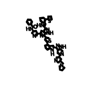 O=C(Nc1cncc(-c2cc3c(-c4cc5c(-c6cccs6)cccc5[nH]4)n[nH]c3c(-c3csc(-c4cccc5[nH]c(-c6n[nH]c7cnc(-c8cncc(CN9CCCC9)c8)cc67)cc45)c3)n2)c1)c1ccccc1